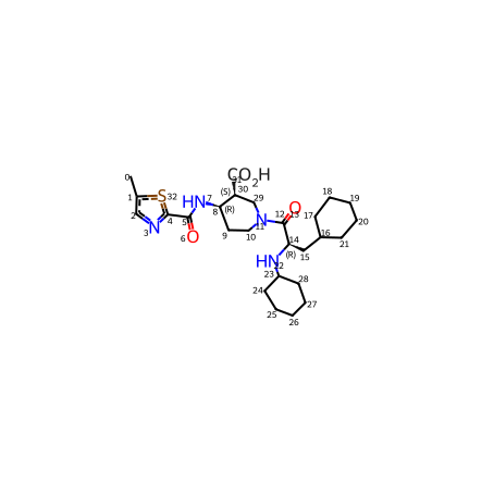 Cc1cnc(C(=O)N[C@@H]2CCN(C(=O)[C@@H](CC3CCCCC3)NC3CCCCC3)C[C@@H]2C(=O)O)s1